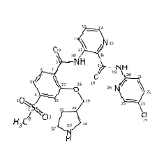 CS(=O)(=O)c1ccc(C(=O)Nc2cccnc2C(=O)Nc2ccc(Cl)cn2)c(OCC2CCNC2)c1